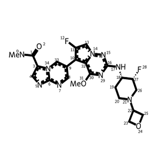 CNC(=O)c1cnc2ncc(-c3c(F)cn4nc(N[C@H]5CCN(C6COC6)C[C@H]5F)nc(OC)c34)cn12